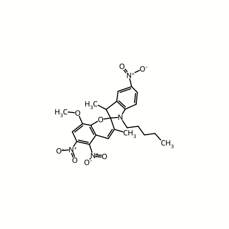 CCCCCN1c2ccc([N+](=O)[O-])cc2C(C)C12Oc1c(OC)cc([N+](=O)[O-])c([N+](=O)[O-])c1C=C2C